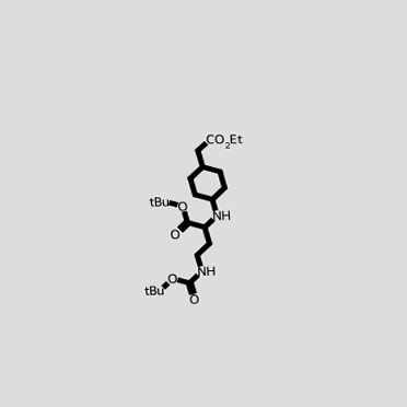 CCOC(=O)CC1CCC(NC(CCNC(=O)OC(C)(C)C)C(=O)OC(C)(C)C)CC1